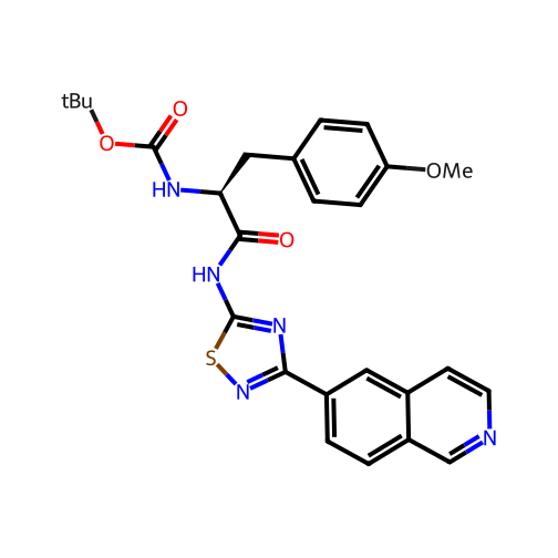 COc1ccc(C[C@H](NC(=O)OC(C)(C)C)C(=O)Nc2nc(-c3ccc4cnccc4c3)ns2)cc1